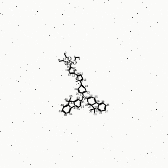 CCO[Si](OCC)(OCC)c1ccc(-c2ccc(-c3ccc(N(c4ccc5c(c4)C(C)(C)c4ccccc4-5)c4ccc5c(c4)C(C)(C)c4ccccc4-5)cc3)s2)s1